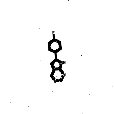 Fc1ccc(-c2cc3cncnc3[nH]2)cc1